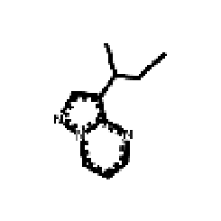 CCC(C)c1cnn2cccnc12